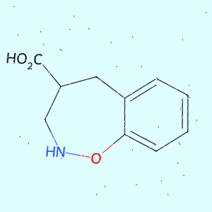 O=C(O)C1CNOc2ccccc2C1